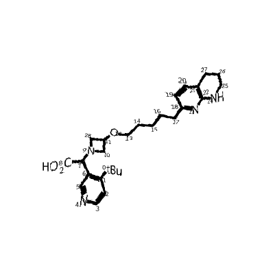 CC(C)(C)c1ccncc1C(C(=O)O)N1CC(OCCCCCc2ccc3c(n2)NCCC3)C1